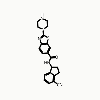 N#Cc1cccc2c1CCC2NC(=O)c1ccc2nc(N3CCNCC3)sc2c1